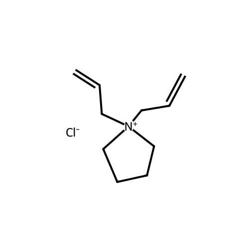 C=CC[N+]1(CC=C)CCCC1.[Cl-]